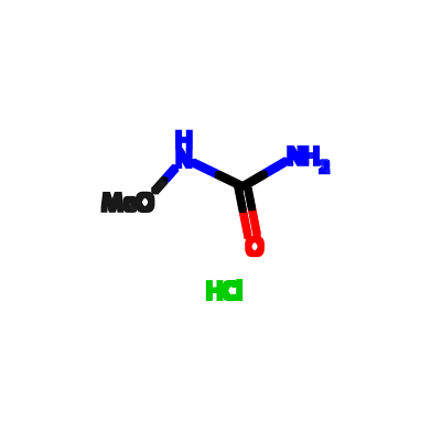 CONC(N)=O.Cl